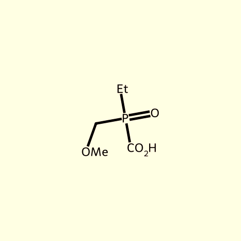 CCP(=O)(COC)C(=O)O